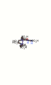 CC1(C)C(/C=C/C=C/C=C2\N(CCCCS(=O)(=O)O)c3ccc(S(=O)(=O)O)cc3C2(C)CCCCCC(=O)NCCCCCNC(=O)O)=[N+](CCCCS(=O)(=O)O)c2ccc(S(=O)(=O)O)cc21